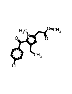 CCc1cc(CC(=O)OC)n(C)c1C(=O)c1ccc(Cl)cc1